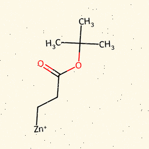 CC(C)(C)OC(=O)C[CH2][Zn+]